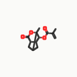 C=C(C)C(=O)OC1C2CC3CC2C(=O)OC31C